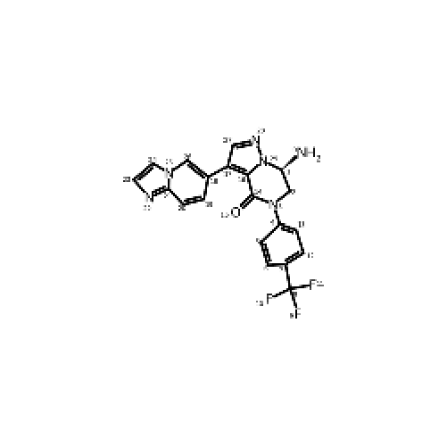 N[C@H]1CN(c2ccc(C(F)(F)F)cc2)C(=O)c2c(-c3ccc4nccn4c3)cnn21